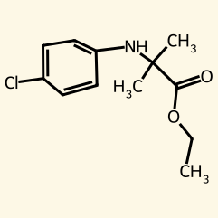 CCOC(=O)C(C)(C)Nc1ccc(Cl)cc1